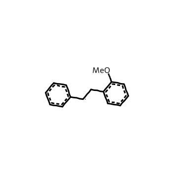 COc1ccccc1C[CH]c1ccccc1